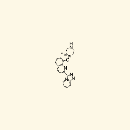 F[C@@H]1CNCC[C@@H]1Oc1cccc2ccc(-c3nnc4ccccn34)nc12